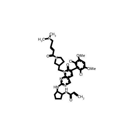 C=CC(=O)NC1CCCC1Nc1ncc2cc(-c3c(Cl)c(OC)cc(OC)c3Cl)c(=O)n(CC3CCN(C(=O)/C=C/CN(C)C)C3)c2n1